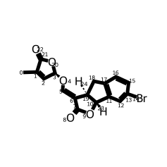 CC1=C[C@H](O/C=C2/C(=O)O[C@H]3c4cc(Br)ccc4C[C@H]23)OC1=O